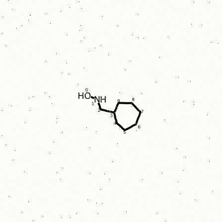 ONCC1CCCCCC1